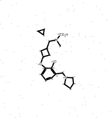 C1CC1.CN(CC1CC(Oc2cccc(CN3CCCC3)c2Cl)C1)C(=O)O